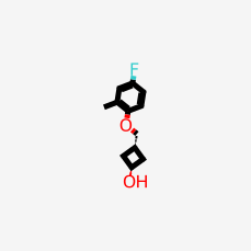 Cc1cc(F)ccc1OC[C@H]1C[C@@H](O)C1